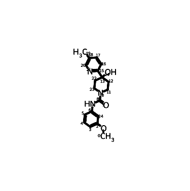 COc1cccc(NC(=O)N2CCC(O)(c3ccc(C)cn3)CC2)c1